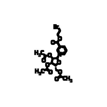 CC(=O)OC[C@H]1OC([n+]2cccc(C(=O)OCCBr)c2)[C@H](OC(C)=O)[C@@H]1OC(C)=O